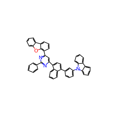 c1ccc(-c2nc(-c3ccc(-c4cccc(-n5c6ccccc6c6ccccc65)c4)c4ccccc34)cc(-c3cccc4c3oc3ccccc34)n2)cc1